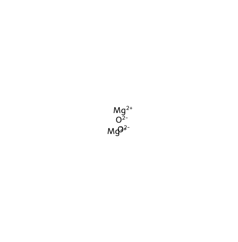 [Mg+2].[Mg+2].[O-2].[O-2]